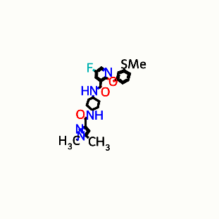 CSc1cccc(Oc2ncc(F)cc2C(=O)NC2CCC(NC(=O)c3cc(C)n(C)n3)CC2)c1